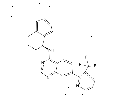 FC(F)(F)c1cccnc1-c1ccc2c(N[C@H]3CCCc4ccccc43)ncnc2c1